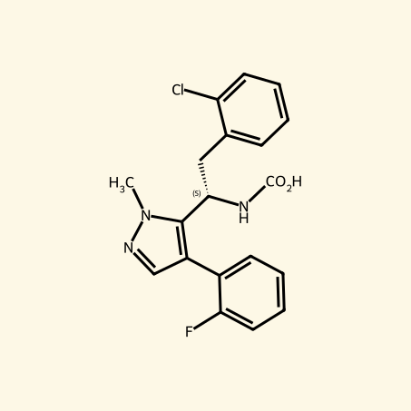 Cn1ncc(-c2ccccc2F)c1[C@H](Cc1ccccc1Cl)NC(=O)O